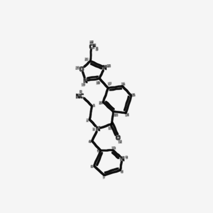 N#CCCN(Cc1cccnc1)C(=O)c1cccc(-c2noc(C(F)(F)F)n2)c1